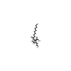 CCCCCCCCCC(C)[n+]1ccn(CCC)c1C(C)C